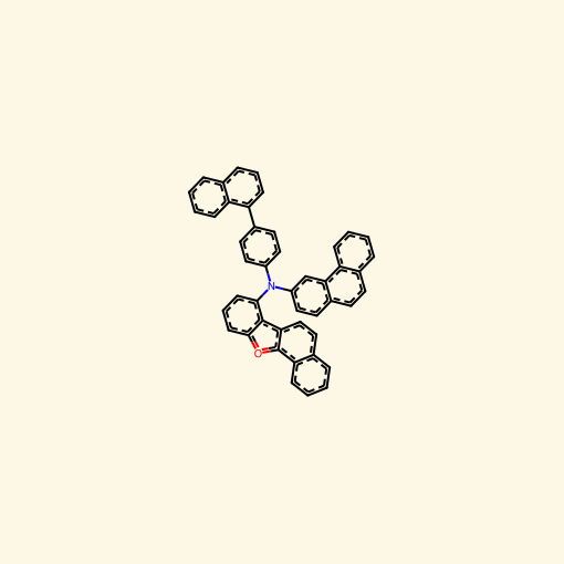 c1ccc2c(-c3ccc(N(c4ccc5ccc6ccccc6c5c4)c4cccc5oc6c7ccccc7ccc6c45)cc3)cccc2c1